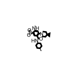 CNc1cc(N2CCC3(CC2)CC3)c(C(=O)N[C@H]2CC[C@H](C)CC2)cc1[N+](=O)[O-]